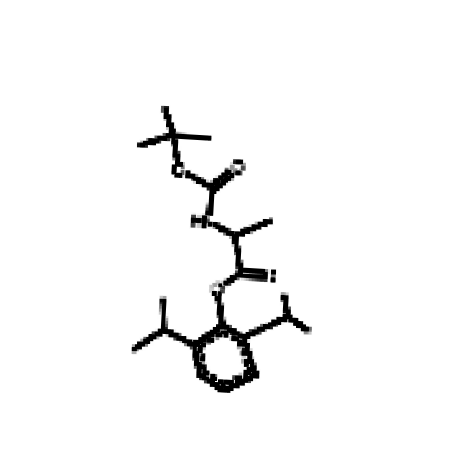 CC(NC(=O)OC(C)(C)C)C(=O)Oc1c(C(C)C)cccc1C(C)C